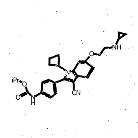 CC(C)OC(=O)Nc1ccc(-c2c(C#N)c3ccc(OCCNC4CC4)cc3n2C2CCC2)cc1